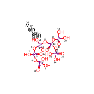 O=P(O)(O)OP(=O)(O)OP(=O)(O)OP(=O)(OP(=O)(O)O)OP(=O)(O)O.[Mn].[Mn].[NaH].[NaH]